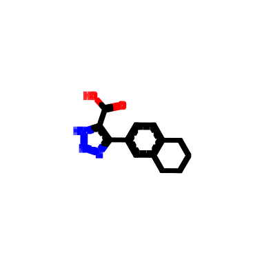 O=C(O)c1[nH]nnc1-c1ccc2c(c1)CCCC2